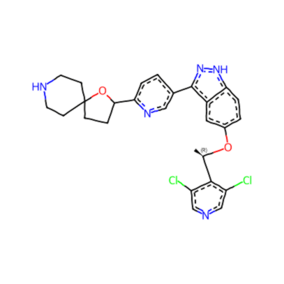 C[C@@H](Oc1ccc2[nH]nc(-c3ccc(C4CCC5(CCNCC5)O4)nc3)c2c1)c1c(Cl)cncc1Cl